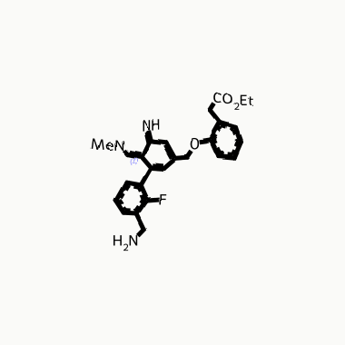 CCOC(=O)Cc1ccccc1OCC1=CC(=N)/C(=C\NC)C(c2cccc(CN)c2F)=C1